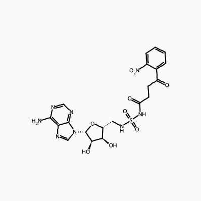 Nc1ncnc2c1ncn2[C@@H]1O[C@H](CNS(=O)(=O)NC(=O)CCC(=O)c2ccccc2[N+](=O)[O-])[C@@H](O)[C@H]1O